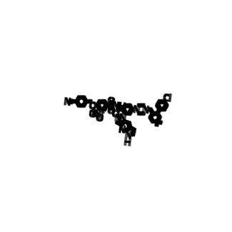 CC1(C)CCC(CN2CCN(c3ccc(C(=O)NS(=O)(=O)c4ccc(OCC5CCC(C#N)CC5)c([N+](=O)[O-])c4)c(-n4ncc5nc6[nH]ccc6cc54)c3)CC2)=C(c2ccc(Cl)cc2)C1